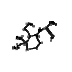 COC(=O)ON1CCCC(C)(O)C1CN